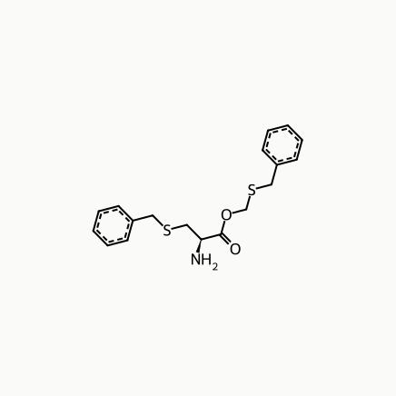 N[C@@H](CSCc1ccccc1)C(=O)OCSCc1ccccc1